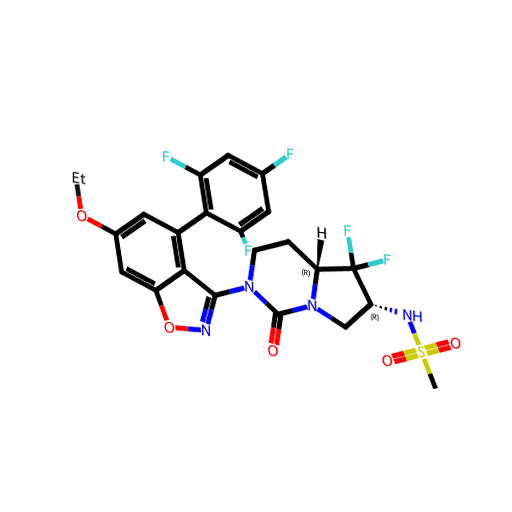 CCOc1cc(-c2c(F)cc(F)cc2F)c2c(N3CC[C@H]4N(C[C@@H](NS(C)(=O)=O)C4(F)F)C3=O)noc2c1